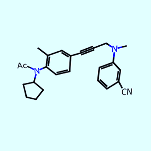 CC(=O)N(c1ccc(C#CCN(C)c2cccc(C#N)c2)cc1C)C1CCCC1